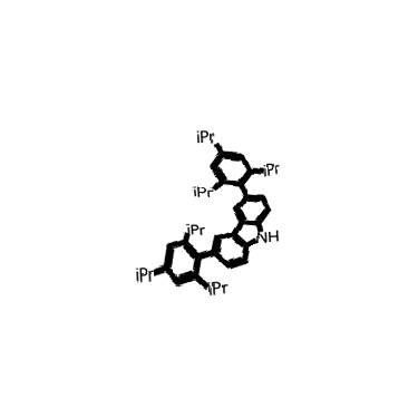 CC(C)c1cc(C(C)C)c(-c2ccc3[nH]c4ccc(-c5c(C(C)C)cc(C(C)C)cc5C(C)C)cc4c3c2)c(C(C)C)c1